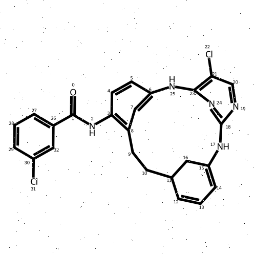 O=C(Nc1ccc2cc1CCC1C=CC=C(C1)Nc1ncc(Cl)c(n1)N2)c1cccc(Cl)c1